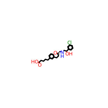 O=C(O)CCCCc1ccc2c(c1)CC[C@H](CNCC(O)c1cccc(Cl)c1)O2